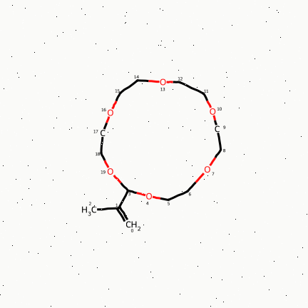 C=C(C)C1OCCOCCOCCOCCOCCO1